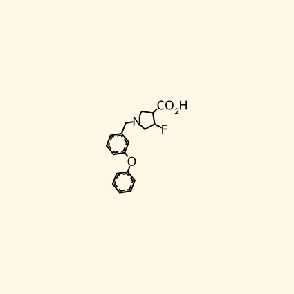 O=C(O)C1CN(Cc2cccc(Oc3ccccc3)c2)CC1F